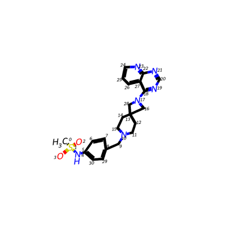 CS(=O)(=O)Nc1ccc(CN2CCC3(CC2)CN(c2ncnc4ncccc24)C3)cc1